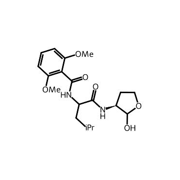 COc1cccc(OC)c1C(=O)NC(CC(C)C)C(=O)N[C@H]1CCOC1O